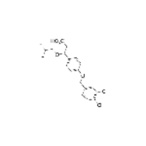 O=C(O)CC(OCC(F)F)c1ccc(OCc2ccc(Cl)c(Cl)c2)cc1